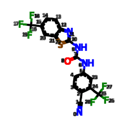 N#Cc1ccc(NC(=O)Nc2nc3ccc(C(F)(F)F)cc3s2)cc1C(F)(F)F